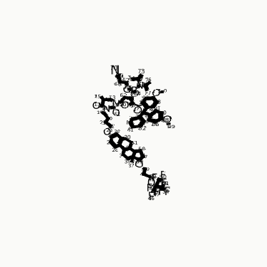 COc1ccc(C(OC[C@H]2O[C@@H](N3CC(C)C(=O)N(CCCCOc4ccc5c(c4)CCC4C5CCC5(C)C(OCCCOC(C(F)(F)F)(C(F)(F)F)C(F)(F)F)CCC45)C3=O)CC2OP(OCCC#N)N(C(C)C)C(C)C)(c2ccccc2)c2ccc(OC)cc2)cc1